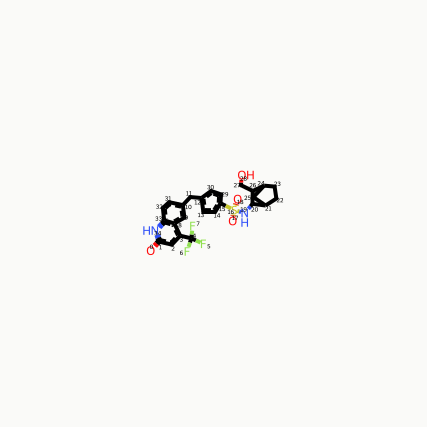 O=c1cc(C(F)(F)F)c2cc(Cc3ccc(S(=O)(=O)NC4C5CCC(C5)C4CO)cc3)ccc2[nH]1